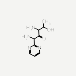 CC(O)C(N)C(=O)C(N)c1ncccn1